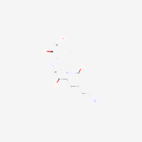 CC(C)(O)C(=O)CNC(C)(C)C(=O)C(CCCCN)NC=O